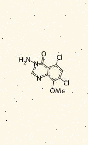 COc1c(Cl)cc(Cl)c2c(=O)n(N)cnc12